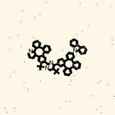 CC(C)(C)c1cc2c(cc1-c1ncc(C(C)(C)C)c(-c3ccc4c(c3)-c3ccccc3-c3ccccc3-c3cc(-n5c6ccccc6c6ccccc65)ccc3-4)n1)-c1ccccc1-c1ccccc1-c1ncccc1-2